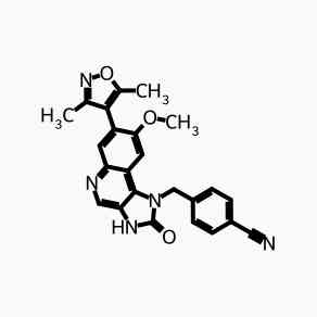 COc1cc2c(cc1-c1c(C)noc1C)ncc1[nH]c(=O)n(Cc3ccc(C#N)cc3)c12